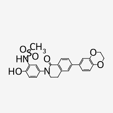 CS(=O)(=O)Nc1cc(N2CCc3cc(-c4ccc5c(c4)OCCO5)ccc3C2=O)ccc1O